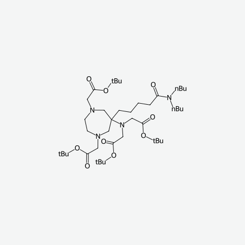 CCCCN(CCCC)C(=O)CCCCC1(N(CC(=O)OC(C)(C)C)CC(=O)OC(C)(C)C)CN(CC(=O)OC(C)(C)C)CCN(CC(=O)OC(C)(C)C)C1